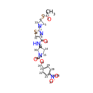 CC(=O)SC1CN(c2nc(C(=O)N[C@H]3CCN(C(=O)OCc4ccc([N+](=O)[O-])cc4)C3)cs2)C1